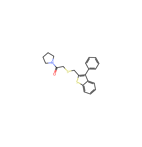 O=C(CSCc1sc2ccccc2c1-c1ccccc1)N1CCCC1